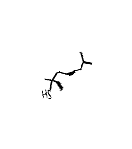 CC(C)CC=CCC(C)(C)S